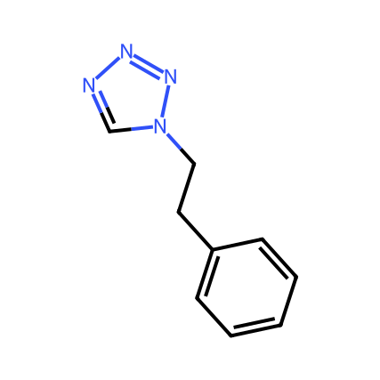 c1ccc(CCn2cnnn2)cc1